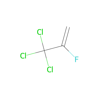 C=C(F)C(Cl)(Cl)Cl